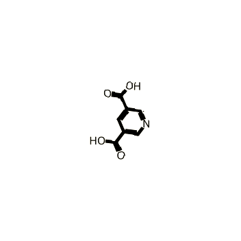 O=C(O)c1[c]ncc(C(=O)O)c1